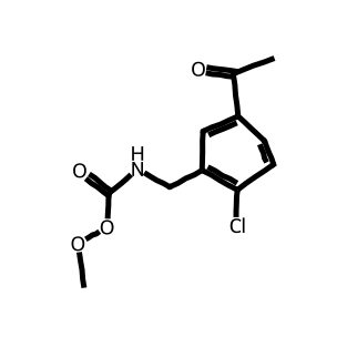 COOC(=O)NCc1cc(C(C)=O)ccc1Cl